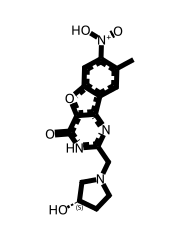 Cc1cc2c(cc1[N+](=O)O)oc1c(=O)[nH]c(CN3CC[C@H](O)C3)nc12